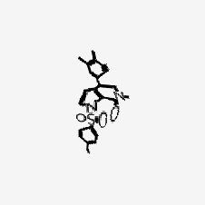 Cc1ccc(S(=O)(=O)n2ccc3c(-c4ccc(C)c(C)c4)cn(C)c(=O)c32)cc1